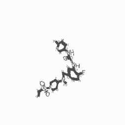 CCS(=O)(=O)N1CCC(N(C)Cc2ccc(F)c(NC(=O)Nc3ccc(C)nc3)c2)CC1